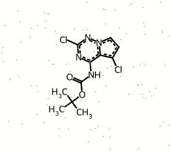 CC(C)(C)OC(=O)Nc1nc(Cl)nn2ccc(Cl)c12